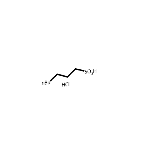 CCCCCCCS(=O)(=O)O.Cl